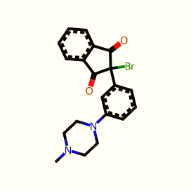 CN1CCN(c2cccc(C3(Br)C(=O)c4ccccc4C3=O)c2)CC1